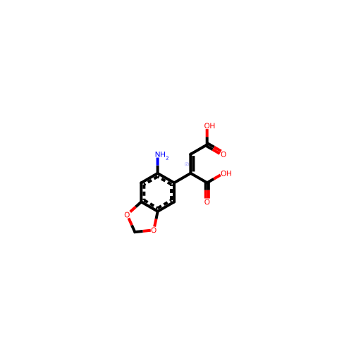 Nc1cc2c(cc1/C(=C/C(=O)O)C(=O)O)OCO2